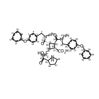 CCCN(Cc1ccc(Oc2ccccc2)cc1)C(=O)[C@H]1[C@@H](C(=O)O)[C@H](C(=O)O)[C@@H]1C(=O)N(CCC)Cc1ccc(Oc2ccccc2)cc1.NC(=O)C1CCCN1